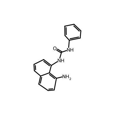 Nc1cccc2cccc(NC(=O)Nc3ccccc3)c12